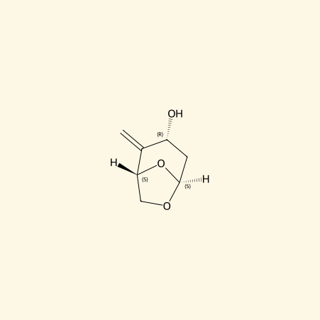 C=C1[C@H](O)C[C@H]2OC[C@H]1O2